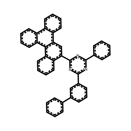 c1ccc(-c2cccc(-c3nc(-c4ccccc4)nc(-c4cc5c6ccccc6c6ccccc6c5c5ccccc45)n3)c2)cc1